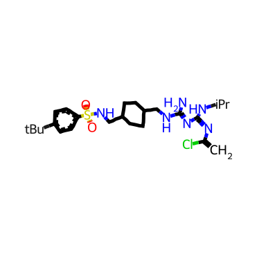 C=C(Cl)/N=C(\N=C(/N)NCC1CCC(CNS(=O)(=O)c2ccc(C(C)(C)C)cc2)CC1)NC(C)C